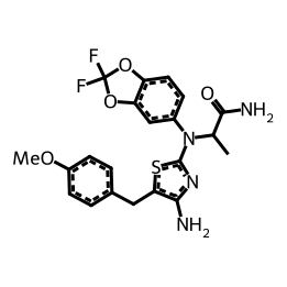 COc1ccc(Cc2sc(N(c3ccc4c(c3)OC(F)(F)O4)C(C)C(N)=O)nc2N)cc1